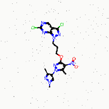 Cc1nn(C)cc1-n1nc(OCCCn2nc(Cl)c3cnc(Cl)nc32)c([N+](=O)[O-])c1C